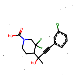 CC(O)(C#Cc1cccc(Cl)c1)C1CCN(C(=O)O)CC1(F)F